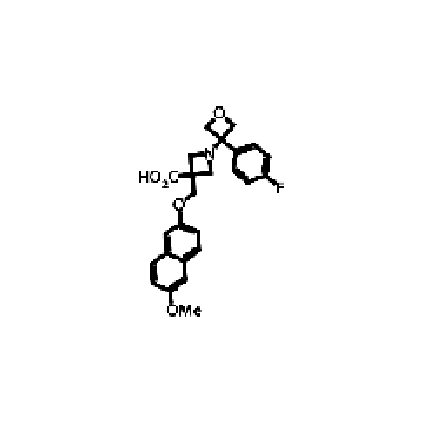 COc1ccc2cc(OCC3(C(=O)O)CN(C4(c5ccc(F)cc5)COC4)C3)ccc2c1